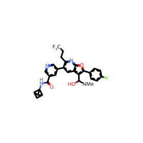 CNC(O)c1c(-c2ccc(F)cc2)oc2nc(CCC(F)(F)F)c(-c3cncc(C(=O)NC4C5CC4C5)c3)cc12